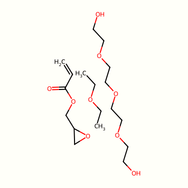 C=CC(=O)OCC1CO1.CCOCC.OCCOCCOCCOCCO